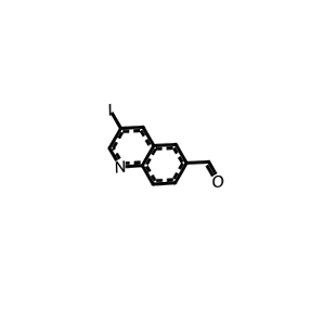 O=Cc1ccc2ncc(I)cc2c1